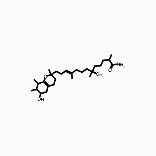 C/C(=C\CCC1(C)CCC2=C(O1)C(C)C(C)C(O)C2)CCCC(C)(O)CCCC(C)C(N)=O